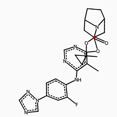 Cc1c(Nc2ccc(-n3cncn3)cc2F)ncnc1OC1CC2CCC(C1)N2C(=O)OC1(C)CC1